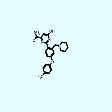 NC(=O)c1cc(O)nc(-c2ccc(Oc3ccc(C(F)(F)F)cc3)cc2CN2CCCCC2)n1